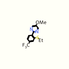 CCSc1cc(C(F)(F)F)ccc1-c1ncc(OC)cn1